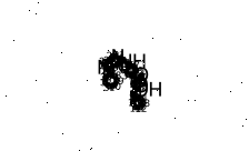 CS(=O)(=O)N(CC(O)CN1CCCCC1)c1ccc(Nc2ncc3cnn(C4CCCCCC4)c3n2)cc1